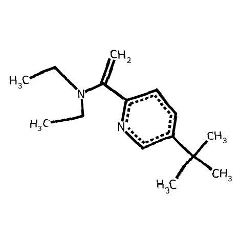 C=C(c1ccc(C(C)(C)C)cn1)N(CC)CC